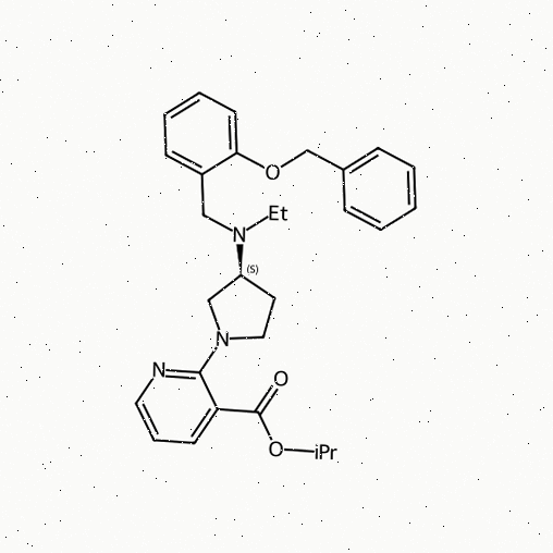 CCN(Cc1ccccc1OCc1ccccc1)[C@H]1CCN(c2ncccc2C(=O)OC(C)C)C1